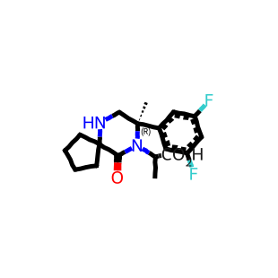 CC(C(=O)O)N1C(=O)C2(CCCC2)NC[C@@]1(C)c1cc(F)cc(F)c1